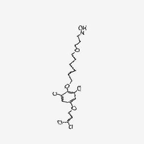 ON=CCCOCCCCCCOc1c(Cl)cc(OCC=C(Cl)Cl)cc1Cl